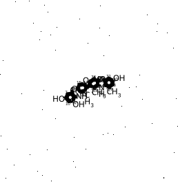 CC1=C(Nc2c(C)cc(O)cc2O)C(=O)C=c2oc3c(c21)C(C)=C(Nc1c(C)cc(O)cc1O)C(=O)C=3